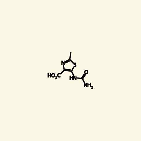 Cc1nc(C(=O)O)c(NC(N)=O)s1